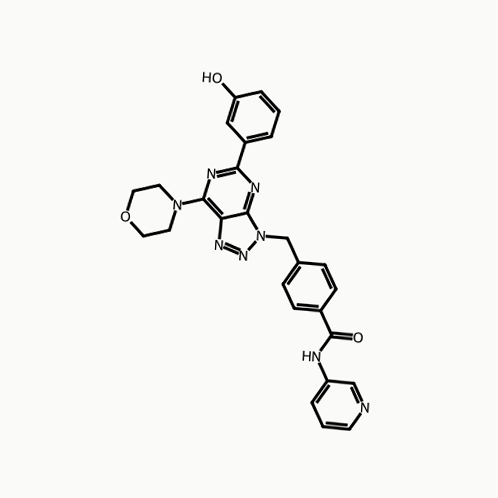 O=C(Nc1cccnc1)c1ccc(Cn2nnc3c(N4CCOCC4)nc(-c4cccc(O)c4)nc32)cc1